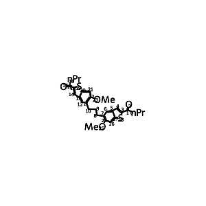 CCCC(=O)c1cc2cc(CCCc3cc4cc(C(=O)CCC)sc4cc3OC)c(OC)cc2s1